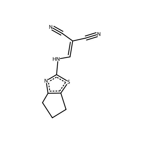 N#CC(C#N)=CNc1nc2c(s1)CCC2